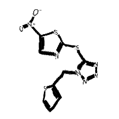 O=[N+]([O-])c1cnc(Sc2nnnn2Cc2cccs2)s1